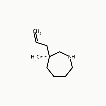 C=CC[C@]1(C)CCCCNC1